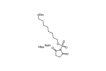 CCCCCCCCCCCCCCCCCCOS(=O)(=O)N1C(=O)CCC1=O.[NaH].[NaH]